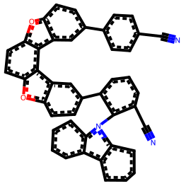 N#Cc1ccc(-c2ccc3oc4ccc5oc6ccc(-c7cccc(C#N)c7-n7c8ccccc8c8ccccc87)cc6c5c4c3c2)cc1